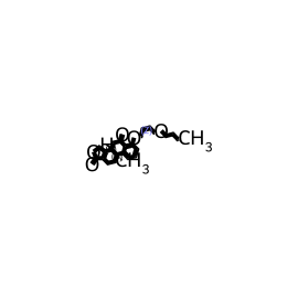 CCCCOC/C=C\COc1cccc2c1C(=O)C[C@H]1C3=C(CC[C@]21C)C(=O)OC3